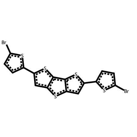 Brc1ccc(-c2cc3sc4cc(-c5ccc(Br)s5)sc4c3s2)s1